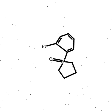 CCc1ccccc1P1(=O)CCCC1